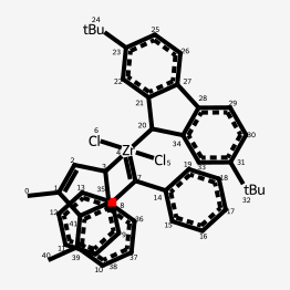 CC1=C[CH]([Zr]([Cl])([Cl])(=[C](c2ccccc2)c2ccccc2)[CH]2c3cc(C(C)(C)C)ccc3-c3ccc(C(C)(C)C)cc32)c2cccc(C)c21